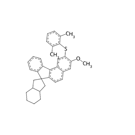 COc1cc2ccc3c(c2cc1Sc1c(C)cccc1C)-c1ccccc1C31CC2CCCCC2C1